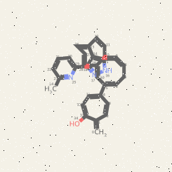 C=C1C=CC(C2=C\CC=C=C3\C=C/C(c4c[nH]nc4-c4cccc(C)n4)=C/C=C/C3=C/2)=CC=C1O